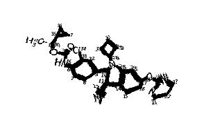 C[C@@H](OC(=O)Nc1ccc(C2C(C#N)c3ccc(Oc4ncccn4)cc3N2C2CCC2)cc1Cl)C1CC1